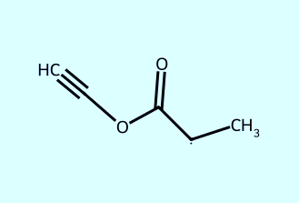 C#COC(=O)[CH]C